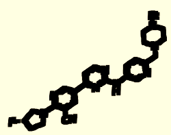 CCN1CCN(Cc2ccc(Nc3nccc(-c4cnc(N5CC[C@H](F)C5)c(C#N)c4)n3)cn2)CC1